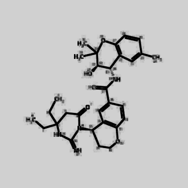 CCC1(CC)CC(=O)N([C@@H]2CCOc3ccc(C(=O)N[C@H]4c5cc(C)ccc5OC(C)(C)[C@@H]4O)cc32)C(=N)N1